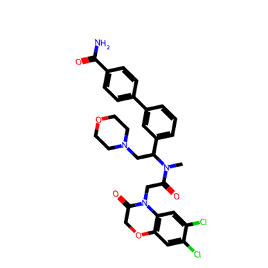 CN(C(=O)CN1C(=O)COc2cc(Cl)c(Cl)cc21)C(CN1CCOCC1)c1cccc(-c2ccc(C(N)=O)cc2)c1